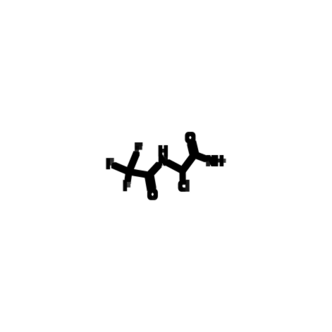 [NH]C(=O)C(Cl)NC(=O)C(F)(F)F